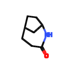 O=C1CCC2CCC(C2)N1